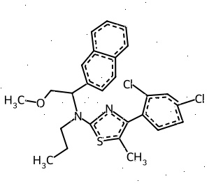 CCCN(c1nc(-c2ccc(Cl)cc2Cl)c(C)s1)C(COC)c1ccc2ccccc2c1